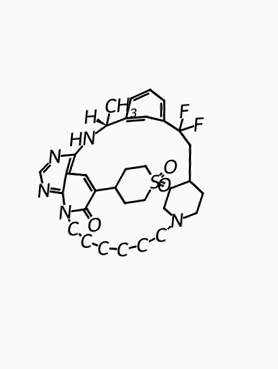 C[C@H]1Nc2ncnc3c2cc(C2CCS(=O)(=O)CC2)c(=O)n3CCCCCCN2CCC(CC2)CC(F)(F)c2cccc1c2